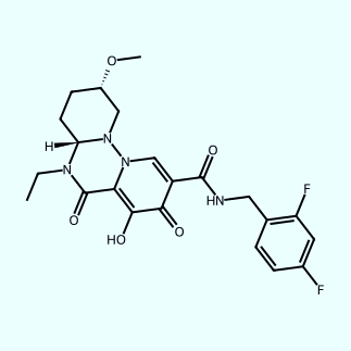 CCN1C(=O)c2c(O)c(=O)c(C(=O)NCc3ccc(F)cc3F)cn2N2C[C@@H](OC)CC[C@@H]12